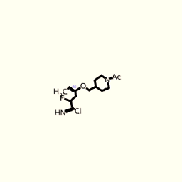 C/C=C(\CC(F)C(=N)Cl)OCC1CCN(C(C)=O)CC1